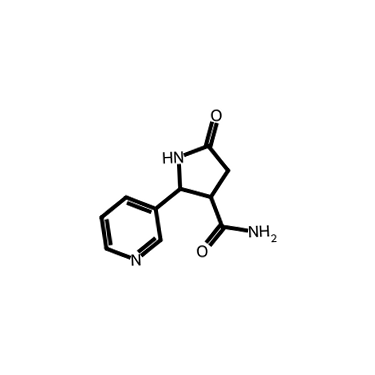 NC(=O)C1CC(=O)NC1c1cccnc1